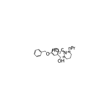 CCC[C@@H]1CCC[C@H](C(O)c2cccc(OCc3ccccc3)c2)N1C(=O)O